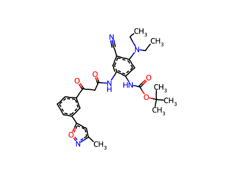 CCN(CC)c1cc(NC(=O)OC(C)(C)C)c(NC(=O)CC(=O)c2cccc(-c3cc(C)no3)c2)cc1C#N